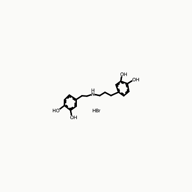 Br.Oc1ccc(CCCNCCc2ccc(O)c(O)c2)cc1O